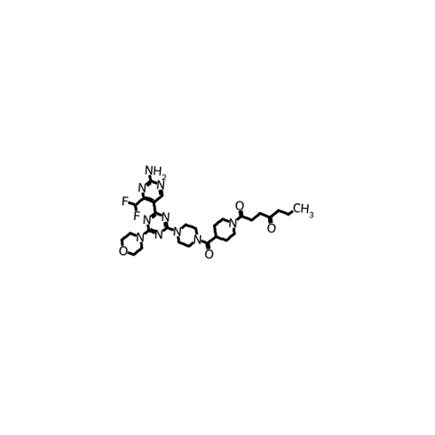 CCCC(=O)CCC(=O)N1CCC(C(=O)N2CCN(c3nc(-c4cnc(N)nc4C(F)F)nc(N4CCOCC4)n3)CC2)CC1